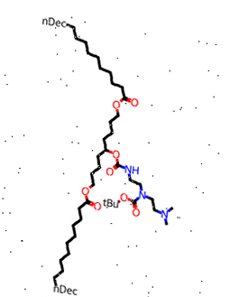 CCCCCCCCCCCCCCCCCCCC(=O)OCCCCC(CCCCOC(=O)CCCCCCCCCCCCCCCCCCC)OC(=O)NCCN(CCN(C)C)C(=O)OC(C)(C)C